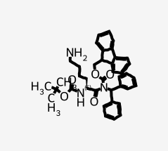 CC(C)(C)OC(=O)N[C@@H](CCCCN)C(=O)N(C(=O)OCC1c2ccccc2-c2ccccc21)C(c1ccccc1)c1ccccc1